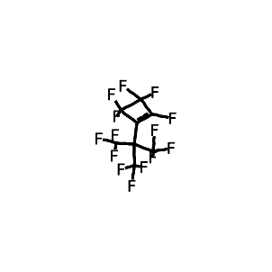 FC1=C(C(C(F)(F)F)(C(F)(F)F)C(F)(F)F)C(F)(F)C1(F)F